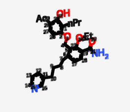 CCCc1c(OCc2c(CCCCc3cccnc3)ccc(C(N)=O)c2OCC)ccc(C(C)=O)c1O